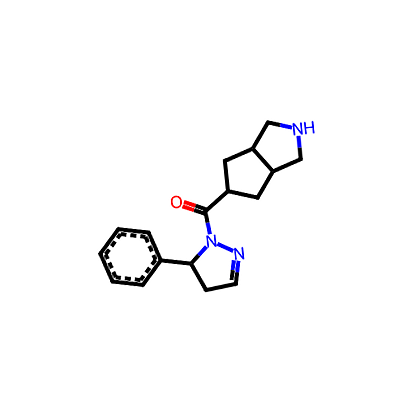 O=C(C1CC2CNCC2C1)N1N=CCC1c1ccccc1